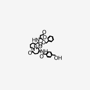 O=C1C[C@H](NC(=O)[C@@H]2CCCN3C(=O)CC[C@H](NC(=O)c4ccc(CO)cc4)C(=O)N23)C(OCc2ccccc2)O1